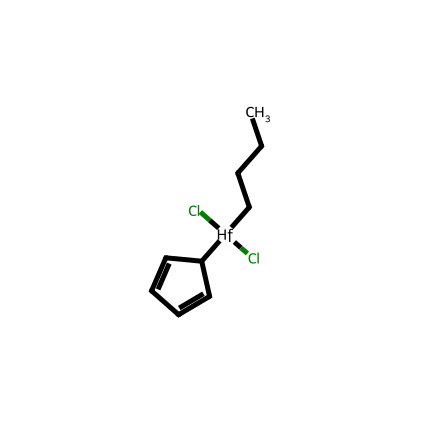 CCC[CH2][Hf]([Cl])([Cl])[CH]1C=CC=C1